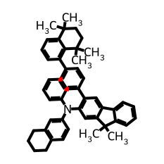 CC1(C)CCC(C)(C)c2c(-c3ccc(-c4cc5c(cc4N(c4ccccc4)c4ccc6c(c4)CCCC6)C(C)(C)c4ccccc4-5)cc3)cccc21